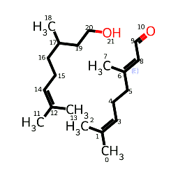 CC(C)=CCC/C(C)=C/C=O.CC(C)=CCCC(C)CCO